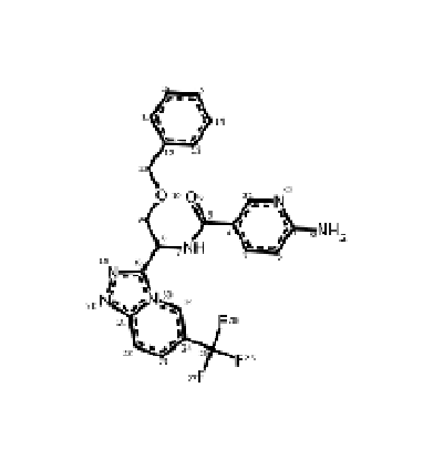 Nc1ccc(C(=O)NC(COCc2ccccc2)c2nnc3ccc(C(F)(F)F)cn23)cn1